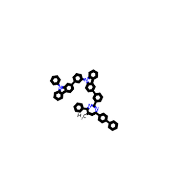 CC1=C=C(c2ccc(-c3ccccc3)cc2)N=C(c2cccc(-c3ccc4c(c3)c3ccccc3n4-c3cccc(-c4ccc5c6ccccc6n(-c6ccccc6)c5c4)c3)c2)N=C1c1ccccc1